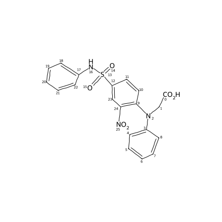 O=C(O)CN(c1ccccc1)c1ccc(S(=O)(=O)Nc2ccccc2)cc1[N+](=O)[O-]